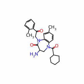 Cc1ccc2c(c1)N(CC(=O)c1ccccc1C)C(=O)C(N)CN2C(=O)C1CCCCC1